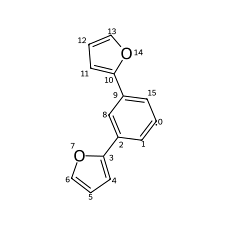 [c]1cc(-c2ccco2)cc(-c2ccco2)c1